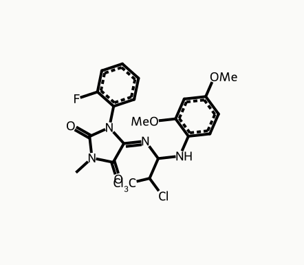 COc1ccc(NC(N=C2C(=O)N(C)C(=O)N2c2ccccc2F)C(Cl)C(Cl)(Cl)Cl)c(OC)c1